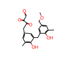 COCc1cc(C)c(O)c(Cc2cc(CC(=O)C(=O)C=O)cc(C)c2O)c1